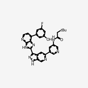 CC(C)(C)CC(=O)Nc1cncc(-c2cc3c(-c4nc5c(-c6cc(O)cc(F)c6)ccnc5[nH]4)n[nH]c3cn2)c1